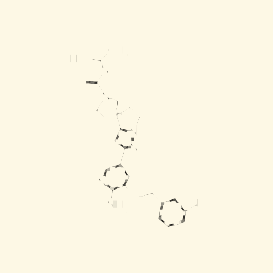 CC(C)NC(=O)N1CC[C@@]2(CCn3nc(-c4cnc(N)c(OCc5cccc(F)c5)c4)cc32)C1